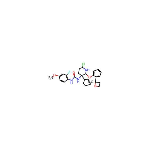 O=C(Nc1ccc(OC(F)(F)F)cc1F)NC1(C2CCCC2)CCC(Cl)NC1Oc1ccccc1[C@@]1(C(F)(F)F)CCO1